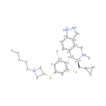 CCCCCN1CC(Sc2cc(F)c([C@@H]3c4ccc5[nH]ncc5c4CN(C)[C@H]3CC3CC3)c(F)c2)C1